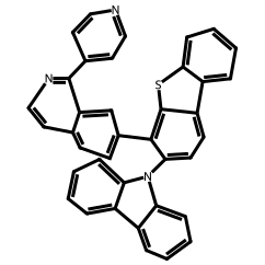 c1ccc2c(c1)sc1c(-c3ccc4ccnc(-c5ccncc5)c4c3)c(-n3c4ccccc4c4ccccc43)ccc12